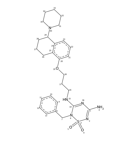 NC1=NS(=O)(=O)N(Cc2ccccc2)C(NCCCOc2cccc3c2CCCC3N2CCCCC2)=N1